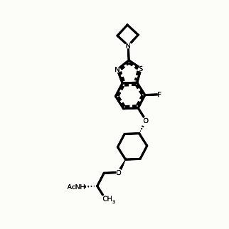 CC(=O)N[C@@H](C)CO[C@H]1CC[C@H](Oc2ccc3nc(N4CCC4)sc3c2F)CC1